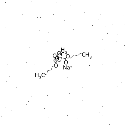 CCCCCOC(=O)CC(C)(C(=O)OCCCCC)S(=O)(=O)[O-].[Na+]